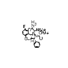 CNC(C(N)=O)N1C2c3cc(F)ccc3OC[C@@H]2[C@@H](c2ccccc2)N1C(=O)OC